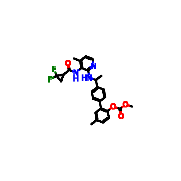 COC(=O)Oc1ccc(C)cc1-c1ccc(C(C)Nc2nccc(C)c2NC(=O)C2CC2(F)F)cc1